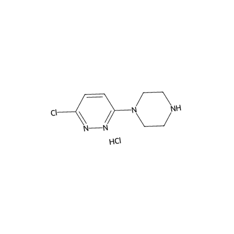 Cl.Clc1ccc(N2CCNCC2)nn1